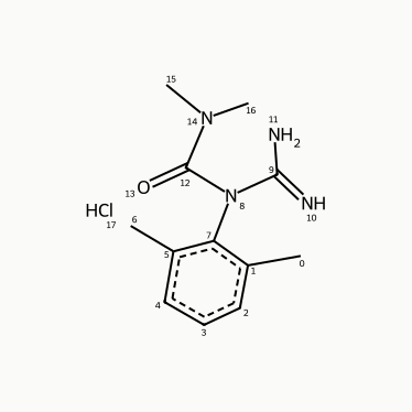 Cc1cccc(C)c1N(C(=N)N)C(=O)N(C)C.Cl